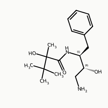 CC(C)(C)C(C)(O)C(=O)N[C@@H](Cc1ccccc1)[C@H](O)CN